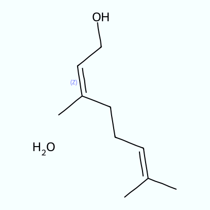 CC(C)=CCC/C(C)=C\CO.O